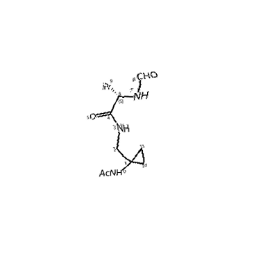 CC(=O)NC1(CNC(=O)[C@@H](NC=O)C(C)C)CC1